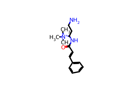 C[N+](C)(C)C(CCN)NC(=O)C=Cc1ccccc1